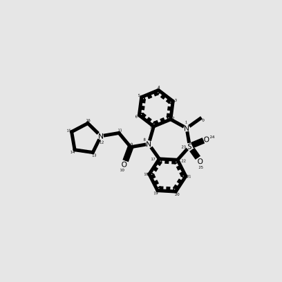 CN1c2ccccc2N(C(=O)CN2CCCC2)c2ccccc2S1(=O)=O